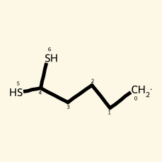 [CH2]CCCC(S)S